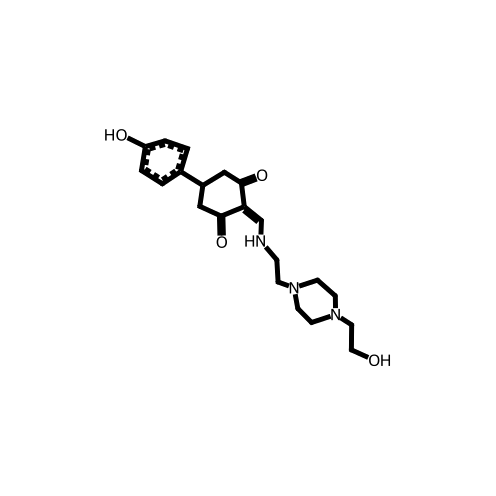 O=C1CC(c2ccc(O)cc2)CC(=O)C1=CNCCN1CCN(CCO)CC1